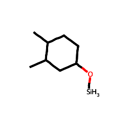 CC1CCC(O[SiH3])CC1C